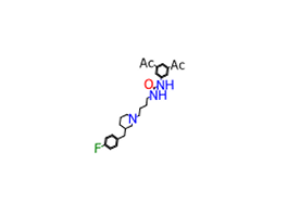 CC(=O)c1cc(NC(=O)NCCCCN2CCCC(Cc3ccc(F)cc3)C2)cc(C(C)=O)c1